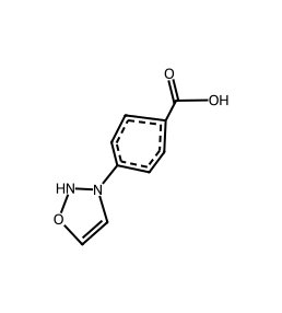 O=C(O)c1ccc(N2C=CON2)cc1